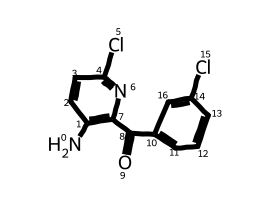 Nc1ccc(Cl)nc1C(=O)c1cccc(Cl)c1